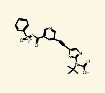 CC(C)(C)N(C(=O)O)c1ncc(C#Cc2cncc(C(=O)N=[S@@](C)(=O)c3ccccc3)c2)s1